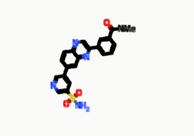 CNC(=O)c1cccc(-c2cnc3ccc(-c4cncc(S(N)(=O)=O)c4)cc3n2)c1